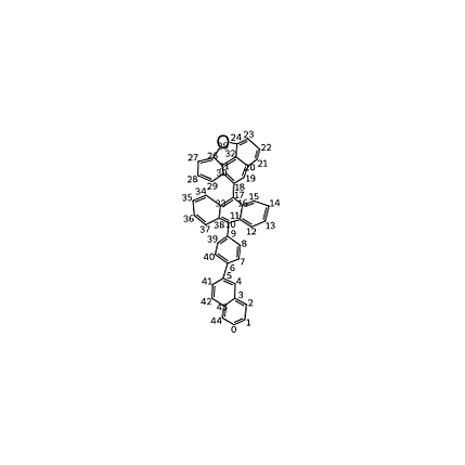 c1ccc2cc(-c3ccc(-c4c5ccccc5c(-c5cc6cccc7oc8cccc5c8c67)c5ccccc45)cc3)ccc2c1